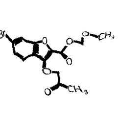 COCOC(=O)c1oc2cc(Br)ccc2c1OCC(C)=O